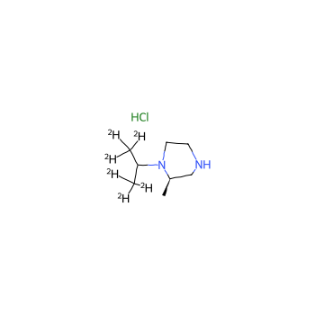 Cl.[2H]C([2H])([2H])C(N1CCNC[C@H]1C)C([2H])([2H])[2H]